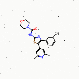 Cc1cc(-c2sc(NC(=O)N3CCOCC3)nc2-c2cccc(C#N)c2)cc(C)n1